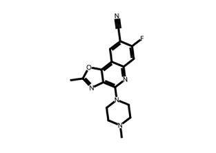 Cc1nc2c(N3CCN(C)CC3)nc3cc(F)c(C#N)cc3c2o1